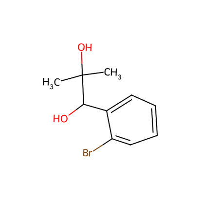 CC(C)(O)C(O)c1ccccc1Br